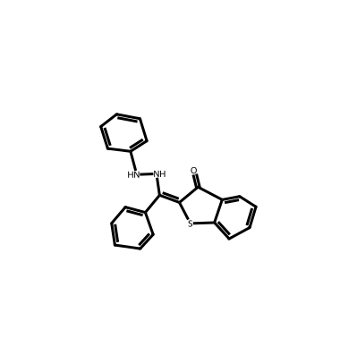 O=C1/C(=C(\NNc2ccccc2)c2ccccc2)Sc2ccccc21